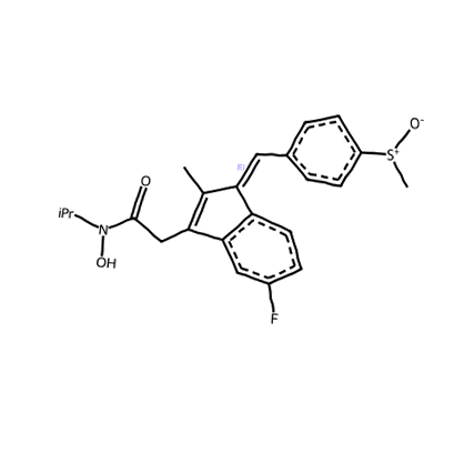 CC1=C(CC(=O)N(O)C(C)C)c2cc(F)ccc2/C1=C\c1ccc([S+](C)[O-])cc1